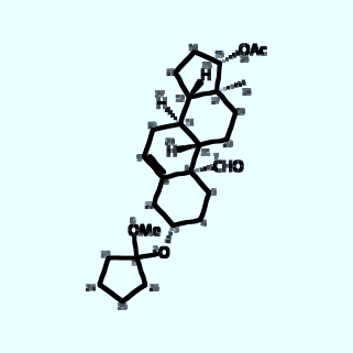 COC1(O[C@H]2CC[C@@]3(C=O)C(=CC[C@H]4[C@@H]5CC[C@H](OC(C)=O)[C@@]5(C)CC[C@@H]43)C2)CCCC1